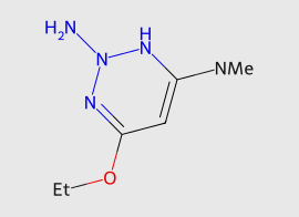 CCOC1=NN(N)NC(NC)=C1